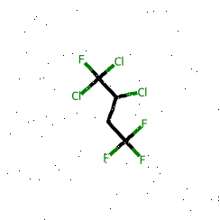 FC(F)(F)CC(Cl)C(F)(Cl)Cl